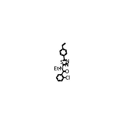 C=Cc1ccc(-c2nnc(N(CC)C(=O)c3ccccc3Cl)s2)cc1